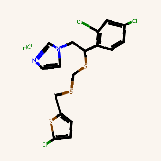 Cl.Clc1ccc(C(Cn2ccnc2)SCSCc2ccc(Cl)s2)c(Cl)c1